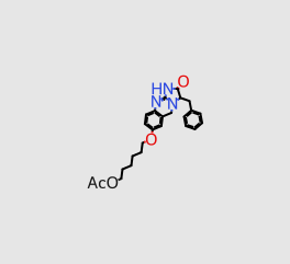 CC(=O)OCCCCCCOc1ccc2c(c1)CN1C(=N2)NC(=O)C1Cc1ccccc1